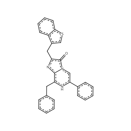 O=c1c(Cc2csc3ccccc23)nc2c(Cc3ccccc3)[nH]c(-c3ccccc3)cn1-2